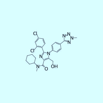 CN(C(=O)c1nc(-c2ccc(Cl)cc2Cl)n(-c2ccc(-c3nnn(C)n3)cc2)c1CO)C1CCCCC1